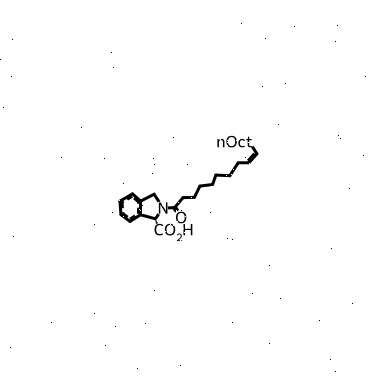 CCCCCCCC/C=C\CCCCCCCC(=O)N1Cc2ccccc2[C@H]1C(=O)O